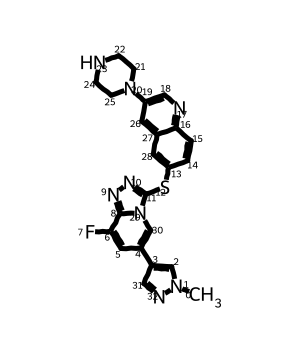 Cn1cc(-c2cc(F)c3nnc(Sc4ccc5ncc(N6CCNCC6)cc5c4)n3c2)cn1